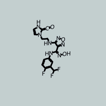 O=C=C1NC=CN1CCNc1nonc1C(=NO)Nc1ccc(F)c(C(F)F)c1